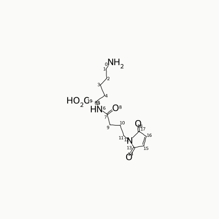 NCCCC[C@H](NC(=O)CCCN1C(=O)C=CC1=O)C(=O)O